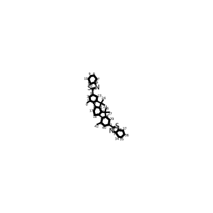 Cc1cc(-c2nc3ccccc3s2)cc2c1-c1ccc3c(c1C2(C)C)C(C)(C)c1cc(-c2nc4ccccc4s2)cc(C)c1-3